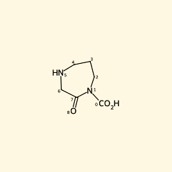 O=C(O)N1CCCNCC1=O